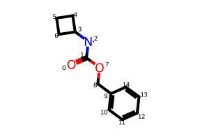 O=C([N]C1CCC1)OCc1ccccc1